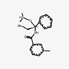 C[SiH](C)O[C@@](CC(C)(C)C)(NC(=O)c1cccc(I)c1)c1ccccc1